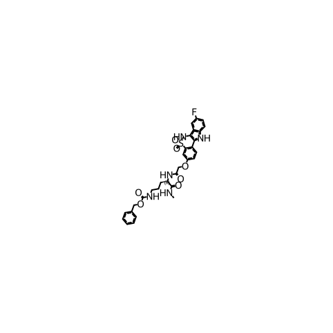 CNC(=O)[C@@H](CCCNC(=O)OCc1ccccc1)NC(=O)COc1ccc2c(c1)S(=O)(=O)Nc1c-2[nH]c2ccc(F)cc12